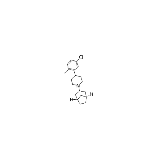 Cc1ccc(Cl)cc1C1CCN(C2C[C@H]3CC[C@H](C2)C3)CC1